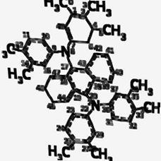 CC1=C(C)C(C)CC(N(c2ccc(C)c(C)c2)c2c3c(c(N(c4ccc(C)c(C)c4)c4ccc(C)c(C)c4)c4ccccc24)=CCCC=3)=C1